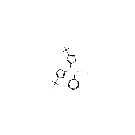 C[Si](c1ccccc1)=[Hf+2]([C]1=CC(C(C)(C)C)=CC1)[C]1=CC(C(C)(C)C)=CC1.[Cl-].[Cl-]